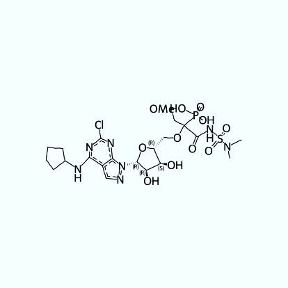 COCC(OC[C@H]1O[C@@H](n2ncc3c(NC4CCCC4)nc(Cl)nc32)[C@H](O)[C@@H]1O)(C(=O)NS(=O)(=O)N(C)C)P(=O)(O)O